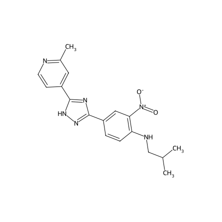 Cc1cc(-c2nc(-c3ccc(NCC(C)C)c([N+](=O)[O-])c3)n[nH]2)ccn1